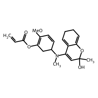 C=CC(=O)OC1=C(OC)C=CC(N(C)C2=CC(C)(O)OC3=CCCC=C32)C1